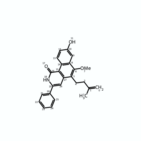 C=C(C)CCc1c(OC)c2cc(O)ccc2c2c(=O)[nH]c(-c3ccccc3)cc12